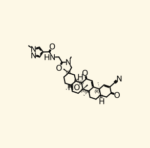 CN(C[C@@]1(C)CC[C@]2(C)CC[C@@]3(C)[C@]4(C)CC[C@H]5CC(=O)C(C#N)=C[C@]5(C)C4=CC(=O)[C@]3(O)[C@@H]2C1)C(=O)CNC(=O)c1cnn(C)c1